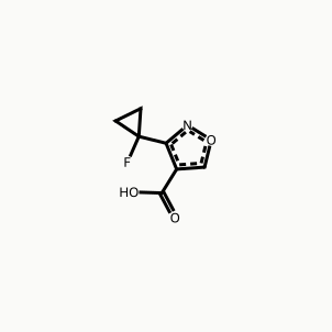 O=C(O)c1conc1C1(F)CC1